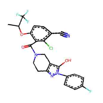 CC(Oc1ccc(C#N)c(Cl)c1C(=O)N1CCc2nn(-c3ccc(F)cc3)c(O)c2C1)C(F)(F)F